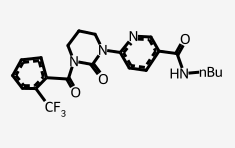 CCCCNC(=O)c1ccc(N2CCCN(C(=O)c3ccccc3C(F)(F)F)C2=O)nc1